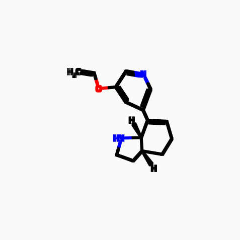 C=COc1cncc(C2=CCC[C@@H]3CCN[C@H]23)c1